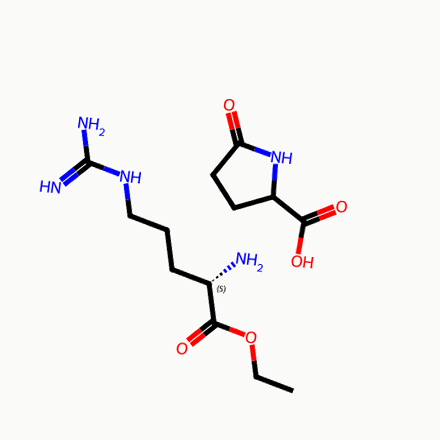 CCOC(=O)[C@@H](N)CCCNC(=N)N.O=C1CCC(C(=O)O)N1